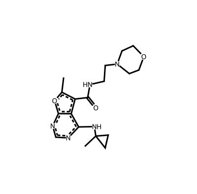 Cc1oc2ncnc(NC3(C)CC3)c2c1C(=O)NCCN1CCOCC1